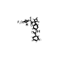 O=C(Nc1ccc(C2(C(=O)NC3C4[C@@H]3[C@@H]4C(F)(F)F)CCC2)cc1)c1cccc(Cl)c1